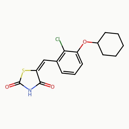 O=C1NC(=O)/C(=C\c2cccc(OC3CCCCC3)c2Cl)S1